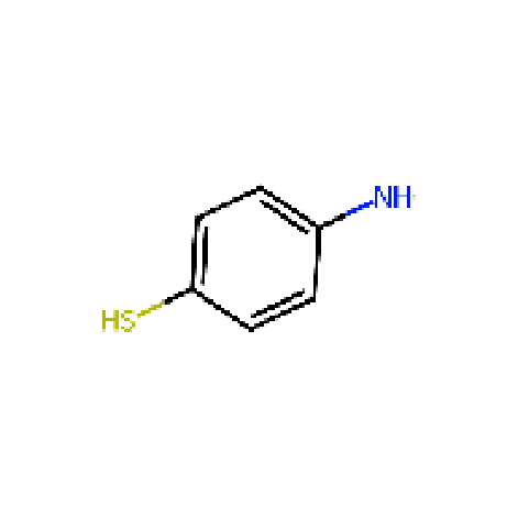 [NH]c1ccc(S)cc1